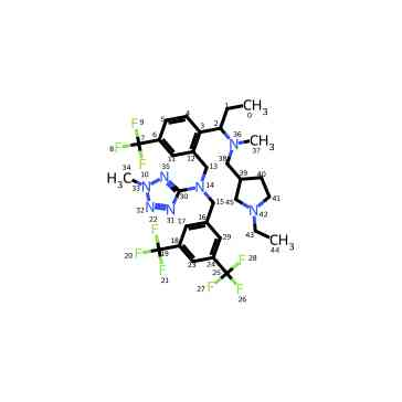 CCC(c1ccc(C(F)(F)F)cc1CN(Cc1cc(C(F)(F)F)cc(C(F)(F)F)c1)c1nnn(C)n1)N(C)CC1CCN(CC)C1